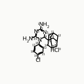 Cl.NC1=NC(C23CC4CC(CC(C4)C2)C3)N(c2ccc(Cl)cc2)C(N)=N1